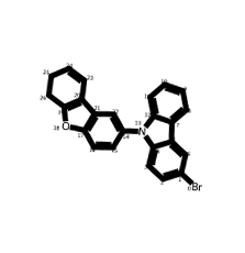 Brc1ccc2c(c1)c1ccccc1n2-c1ccc2oc3c(c2c1)C=CCC3